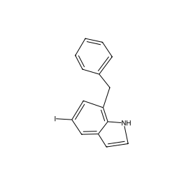 Ic1cc(Cc2ccccc2)c2[nH]ccc2c1